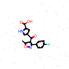 Cc1onc(-c2ccc(F)cc2)c1C(=O)c1c[nH]c(C(=O)O)c1